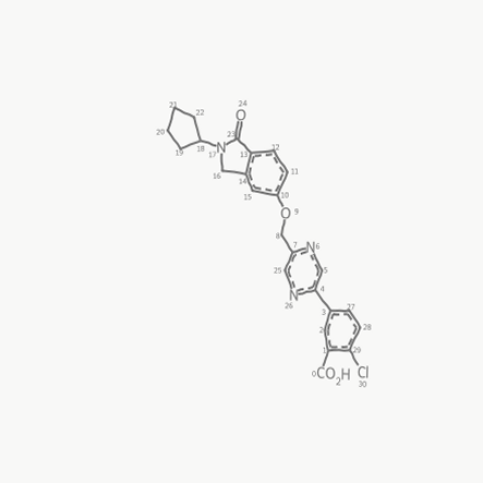 O=C(O)c1cc(-c2cnc(COc3ccc4c(c3)CN(C3CCCC3)C4=O)cn2)ccc1Cl